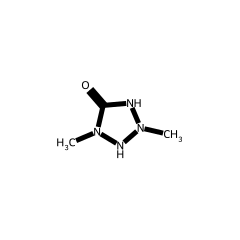 CN1NC(=O)N(C)N1